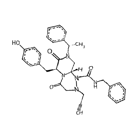 C#CCN1CC(=O)N2[C@@H](Cc3ccc(O)cc3)C(=O)N([C@@H](C)c3ccccc3)C[C@@H]2N1C(=O)NCc1ccccc1